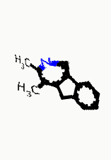 Cc1ncc2c(c1C)Cc1ccccc1-2